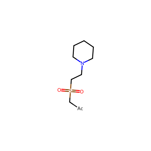 CC(=O)CS(=O)(=O)CCN1CCCCC1